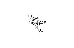 CCOCCN(C)C1CC(=O)N2C[C@H](O[C@H](C)c3cc(C(F)(F)F)cc(C(F)(F)F)c3)C(c3ccc(F)cc3)[C@@H]2C1